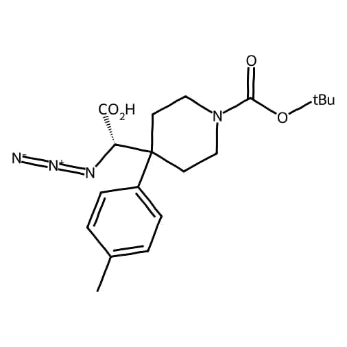 Cc1ccc(C2([C@H](N=[N+]=[N-])C(=O)O)CCN(C(=O)OC(C)(C)C)CC2)cc1